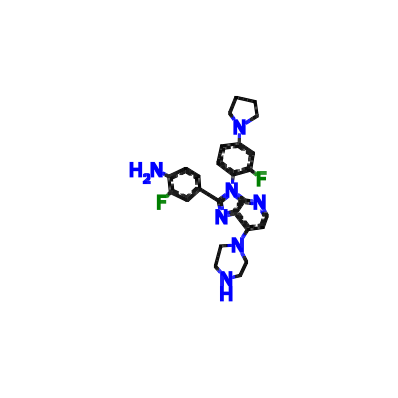 Nc1ccc(-c2nc3c(N4CCNCC4)ccnc3n2-c2ccc(N3CCCC3)cc2F)cc1F